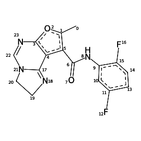 Cc1oc2c(c1C(=O)Nc1cc(F)ccc1F)C1=NCCN1C=N2